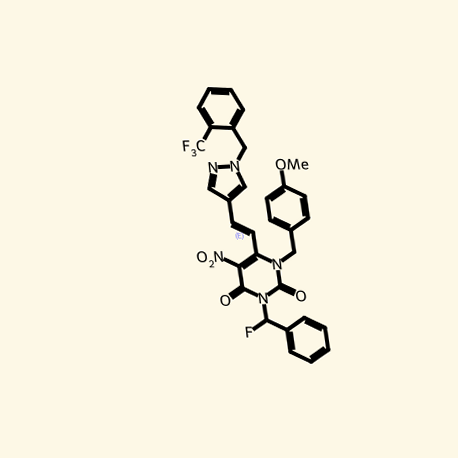 COc1ccc(Cn2c(/C=C/c3cnn(Cc4ccccc4C(F)(F)F)c3)c([N+](=O)[O-])c(=O)n(C(F)c3ccccc3)c2=O)cc1